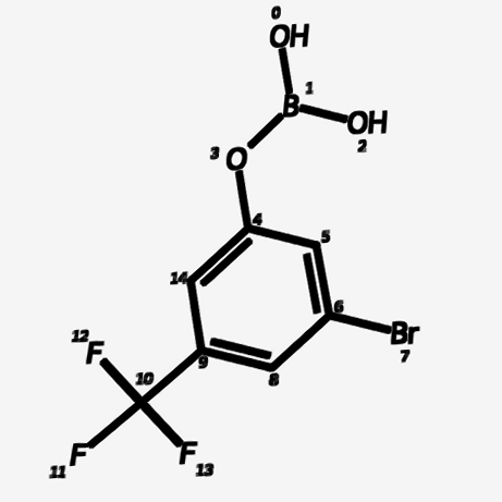 OB(O)Oc1cc(Br)cc(C(F)(F)F)c1